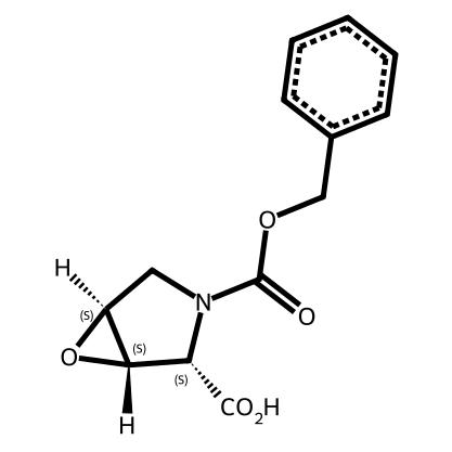 O=C(O)[C@@H]1[C@@H]2O[C@H]2CN1C(=O)OCc1ccccc1